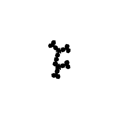 c1cc(-c2ccc(-c3ccc(-c4nc(-c5ccc(-n6c7ccccc7c7ccccc76)cc5)nc(-c5ccc(-n6c7ccccc7c7ccccc76)cc5)n4)cc3)cc2)cc(-c2nc(-c3ccc(-n4c5ccccc5c5ccccc54)cc3)nc(-c3ccc(-n4c5ccccc5c5ccccc54)cc3)n2)c1